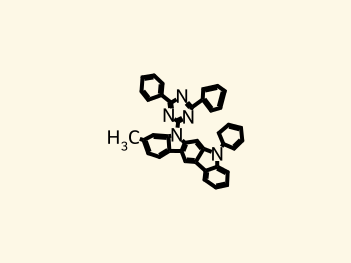 Cc1ccc2c3cc4c5ccccc5n(C5C=CC=CC5)c4cc3n(-c3nc(-c4ccccc4)nc(-c4ccccc4)n3)c2c1